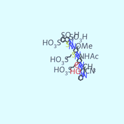 COc1cc(N=Nc2cc(OCCCS(=O)(=O)O)c(N=Nc3c(C)c(C#N)c4nc5c(n4c3O)C=CCC5)cc2NC(C)=O)c(SCCCS(=O)(=O)O)cc1N=Nc1nc2c(S(=O)(=O)O)cc3c(S(=O)(=O)O)cc(S(=O)(=O)O)cc3c2s1